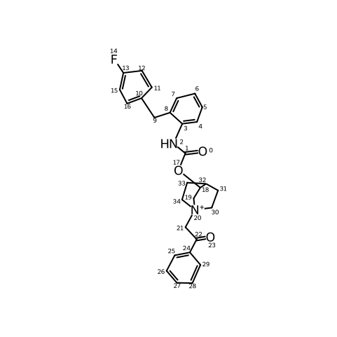 O=C(Nc1ccccc1Cc1ccc(F)cc1)OC1C[N+]2(CC(=O)c3ccccc3)CCC1CC2